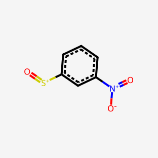 O=[S+]c1cccc([N+](=O)[O-])c1